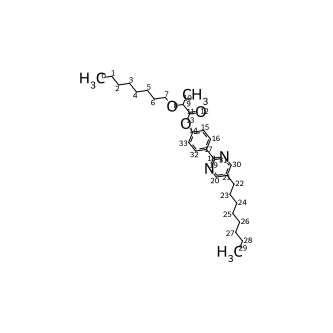 CCCCCCCCOC(C)C(=O)Oc1ccc(-c2ncc(CCCCCCCC)cn2)cc1